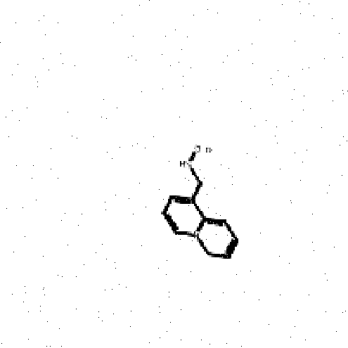 O=[C]NCC1=CC=CN2CC=CC=C12